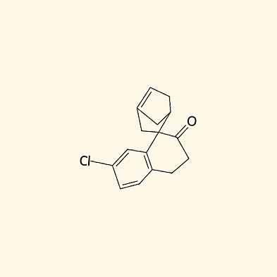 O=C1CCc2ccc(Cl)cc2C12CC1=CCC2C1